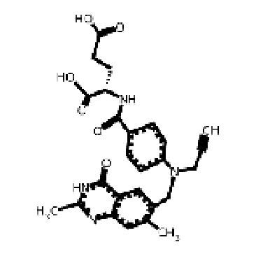 C#CCN(Cc1cc2c(=O)[nH]c(C)nc2cc1C)c1ccc(C(=O)N[C@@H](CCC(=O)O)C(=O)O)cc1